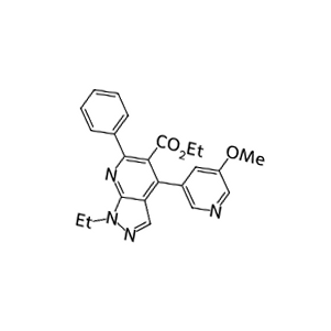 CCOC(=O)c1c(-c2ccccc2)nc2c(cnn2CC)c1-c1cncc(OC)c1